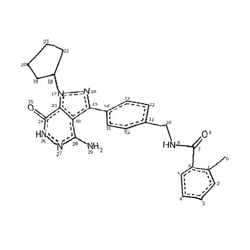 Cc1ccccc1C(=O)NCc1ccc(-c2nn(C3CCCC3)c3c(=O)[nH]nc(N)c23)cc1